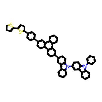 C1=C(C2=CCC(c3ccc(-c4ccc5c6ccc(-c7ccc8c(c7)c7ccccc7n8-c7ccc8c(c7)c7ccccc7n8-c7ccccc7)cc6c6ccccc6c5c4)cc3)S2)SCC1